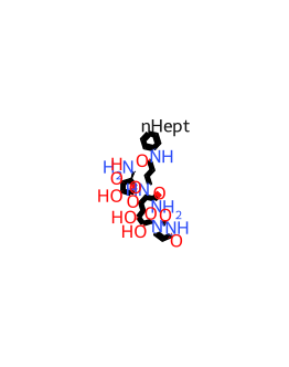 CCCCCCCc1ccc(NC(=O)CCCN[C@H](C(N)=O)[C@H](OC2O[C@H](CN)[C@@H](O)[C@H]2O)[C@H]2O[C@@H](n3ccc(=O)[nH]c3=O)C(O)C2O)cc1